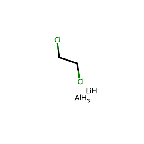 ClCCCl.[AlH3].[LiH]